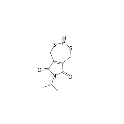 CC(C)N1C(=O)C2=C(CSPSC2)C1=O